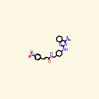 CN(C)c1nc(NC2CCC(CNC(=O)/C=C/c3ccc([N+](=O)[O-])cc3)CC2)nc2c1CCCC2